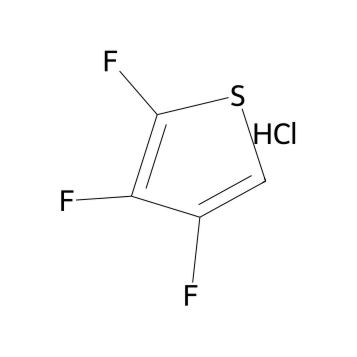 Cl.Fc1csc(F)c1F